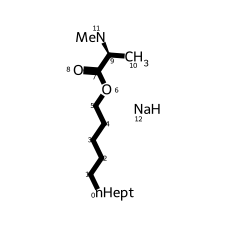 CCCCCCCCCCCCOC(=O)[C@H](C)NC.[NaH]